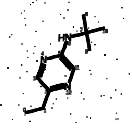 CCc1cnc(NC(C)(C)C)cn1